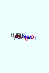 CN(CCCc1ccc(CN(C=O)OC(C)(C)C)cc1)CCNC(=O)c1ccc2[nH]c(=O)ccc2c1